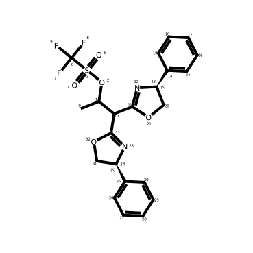 CC(OS(=O)(=O)C(F)(F)F)C(C1=N[C@@H](c2ccccc2)CO1)C1=N[C@@H](c2ccccc2)CO1